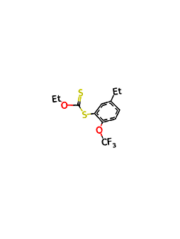 CCOC(=S)Sc1cc(CC)ccc1OC(F)(F)F